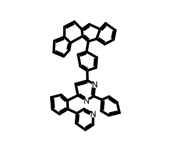 c1ccc(-c2nc(-c3ccc(-c4c5ccccc5cc5ccc6ccccc6c45)cc3)cc(-c3ccccc3-c3cccnc3)n2)cc1